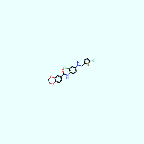 O=C(Nc1ccc(NCc2ccc(Cl)s2)cc1Cl)c1ccc2c(c1)OCCO2